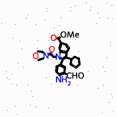 COC(=O)c1ccc2c(C3CCCCC3)c(-c3ccc(N)c(C=O)c3)n(CC(=O)N3CCOCC3)c2c1